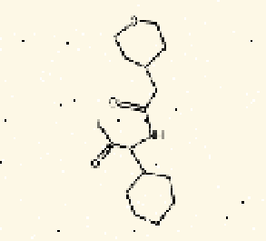 O=C(CC1CCOCC1)NC(C(=O)I)C1CCCCC1